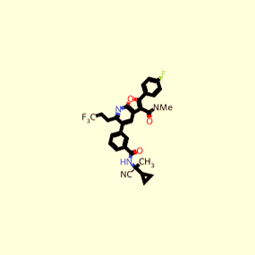 CNC(=O)c1c(-c2ccc(F)cc2)oc2nc(CCC(F)(F)F)c(-c3cccc(C(=O)N[C@](C)(C#N)C4CC4)c3)cc12